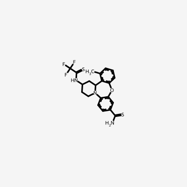 Cc1cccc2c1C1CC(NC(=S)C(F)(F)F)CCN1c1ccc(C(N)=S)cc1O2